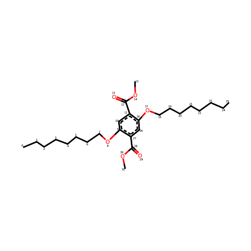 CCCCCCCCOc1cc(C(=O)OC)c(OCCCCCCCC)cc1C(=O)OC